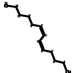 CCCC/C=C\C=C/CCCCCl